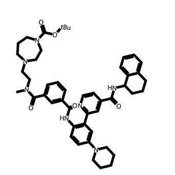 CN(CCN1CCCN(C(=O)OC(C)(C)C)CC1)C(=O)c1cccc(C(=O)Nc2ccc(N3CCCCC3)cc2-c2cc(C(=O)NC3CCCc4ccccc43)ccn2)c1